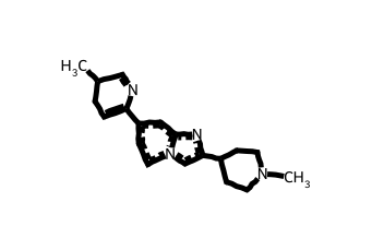 CC1C=NC(c2ccn3cc(C4CCN(C)CC4)nc3c2)=CC1